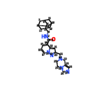 O=C(NCC12CC3CC(CC(C3)C1)C2)c1cccn2nc(CN3CCn4cncc4C3)cc12